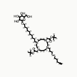 C#CCCCSSCCCN1CCCN(CC(=O)OC(C)(C)C)CCN(CCCCCCCCCCO[C@@H]2OC(CO)[C@@H](O)[C@H](O)C2O)CCCN(CC(=O)OC(C)(C)C)CC1